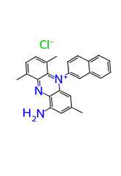 Cc1cc(N)c2nc3c(C)ccc(C)c3[n+](-c3ccc4ccccc4c3)c2c1.[Cl-]